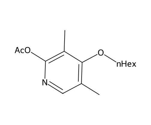 CCCCCCOc1c(C)cnc(OC(C)=O)c1C